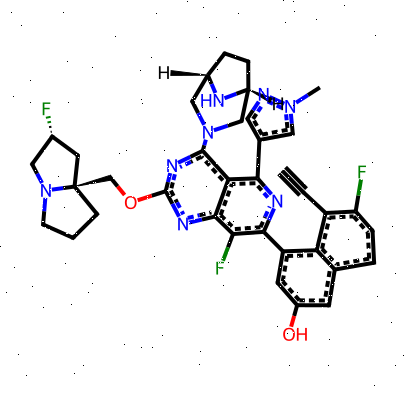 C#Cc1c(F)ccc2cc(O)cc(-c3nc(-c4cnn(C)c4)c4c(N5C[C@H]6CC[C@@H](C5)N6)nc(OC[C@@]56CCCN5C[C@H](F)C6)nc4c3F)c12